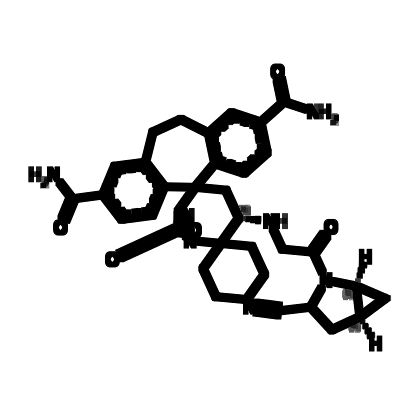 N#CC1C[C@@H]2C[C@@H]2N1C(=O)CN[C@H]1CC2(c3ccc(C(N)=O)cc3CCc3cc(C(N)=O)ccc32)c2nc(=O)on2C12CCCCC2